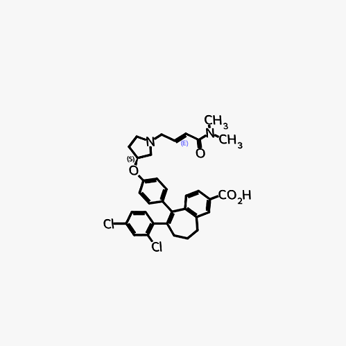 CN(C)C(=O)/C=C/CN1CC[C@H](Oc2ccc(C3=C(c4ccc(Cl)cc4Cl)CCCc4cc(C(=O)O)ccc43)cc2)C1